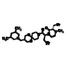 CC(C)C[C@H]1C(=O)N([C@@H](CC(C)C)C(=O)N2CCC3(CC2)OCC(CN2CC(C)CC(C)C2)CO3)CCN1C